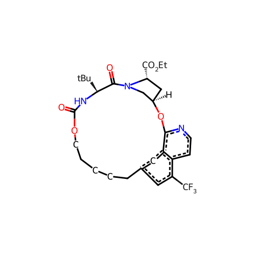 CCOC(=O)[C@@H]1C[C@@H]2CN1C(=O)[C@H](C(C)(C)C)NC(=O)OCCCCCc1cc(C(F)(F)F)c3ccnc(c3c1)O2